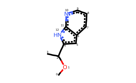 COC(C)c1cc2cccnc2[nH]1